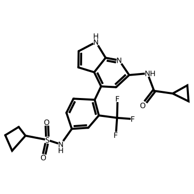 O=C(Nc1cc(-c2ccc(NS(=O)(=O)C3CCC3)cc2C(F)(F)F)c2cc[nH]c2n1)C1CC1